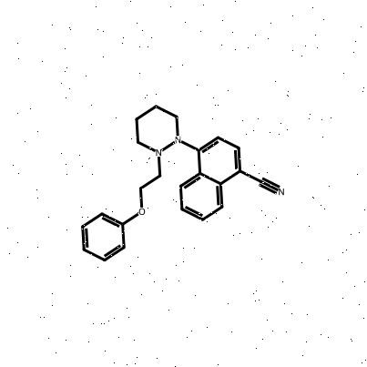 N#Cc1ccc(N2CCCCN2CCOc2ccccc2)c2ccccc12